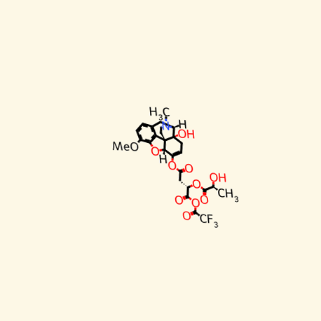 COc1ccc2c3c1O[C@H]1C(OC(=O)C[C@H](OC(=O)[C@H](C)O)C(=O)OC(=O)C(F)(F)F)=CC[C@@]4(O)[C@@H](C2)N(C)CC[C@]314